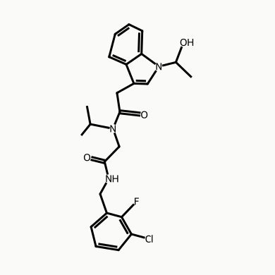 CC(C)N(CC(=O)NCc1cccc(Cl)c1F)C(=O)Cc1cn(C(C)O)c2ccccc12